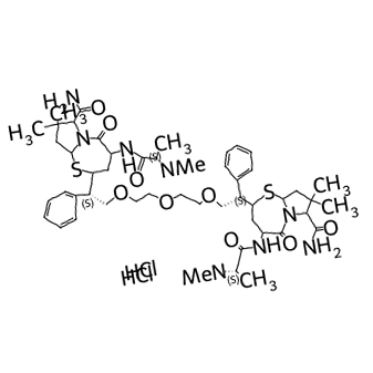 CN[C@@H](C)C(=O)NC1CC([C@H](COCCOCCOC[C@H](c2ccccc2)C2CC(NC(=O)[C@H](C)NC)C(=O)N3C(CC(C)(C)C3C(N)=O)S2)c2ccccc2)SC2CC(C)(C)C(C(N)=O)N2C1=O.Cl.Cl